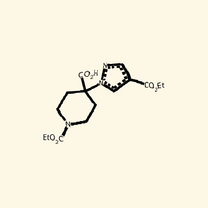 CCOC(=O)c1cnn(C2(C(=O)O)CCN(C(=O)OCC)CC2)c1